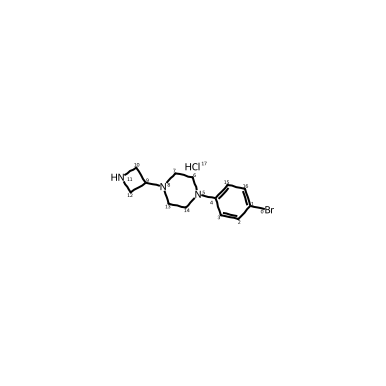 Brc1ccc(N2CCN(C3CNC3)CC2)cc1.Cl